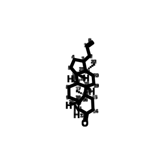 C=CCC1CC[C@H]2[C@@H]3CC[C@H]4NC(=O)CC[C@]4(C)[C@H]3CC[C@]12C